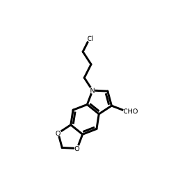 O=Cc1cn(CCCCl)c2cc3c(cc12)OCO3